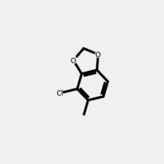 Cc1ccc2c(c1Cl)OCO2